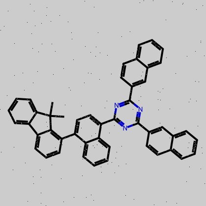 CC1(C)c2ccccc2-c2cccc(-c3ccc(-c4nc(-c5ccc6ccccc6c5)nc(-c5ccc6ccccc6c5)n4)c4ccccc34)c21